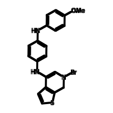 COc1ccc(Nc2ccc(NC3=CN(Br)Cc4sccc43)cc2)cc1